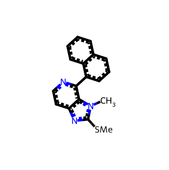 CSc1nc2ccnc(-c3cccc4ccccc34)c2n1C